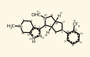 CN1CCc2c(C3[C@H]4C[C@H](c5ccccc5C(F)(F)F)C[C@H]4CN3C=O)n[nH]c2C1